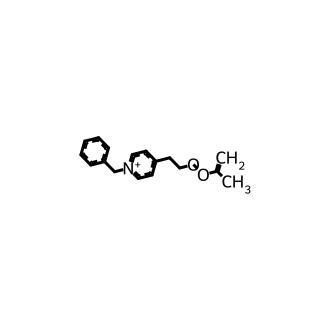 C=C(C)OOCCc1cc[n+](Cc2ccccc2)cc1